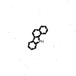 c1ccc2c(c1)ccc1c3ccccc3[pH]c21